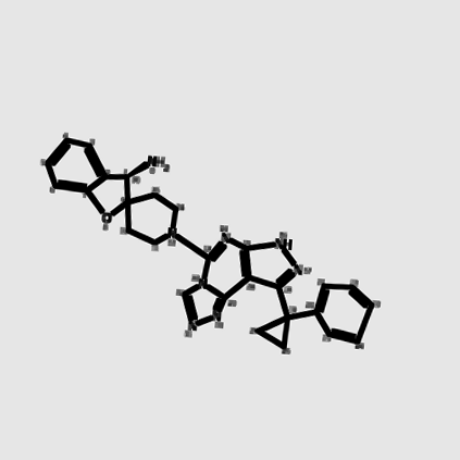 N[C@@H]1c2ccccc2OC12CCN(c1nc3[nH]nc(C4(c5ccccc5)CC4)c3c3nncn13)CC2